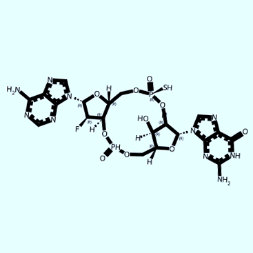 Nc1nc2c(ncn2[C@@H]2O[C@@H]3CO[PH](=O)O[C@H]4[C@@H](F)[C@H](n5cnc6c(N)ncnc65)O[C@@H]4CO[P@@](=O)(S)O[C@@H]2[C@@H]3O)c(=O)[nH]1